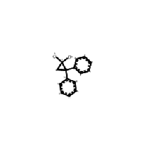 ClC1(Cl)CC1(c1ccccc1)c1ccccc1